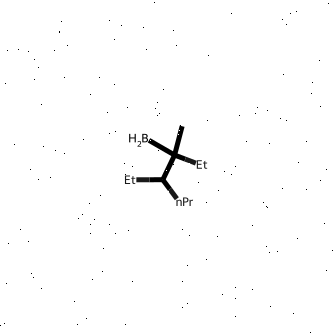 BC(C)(CC)C(CC)CCC